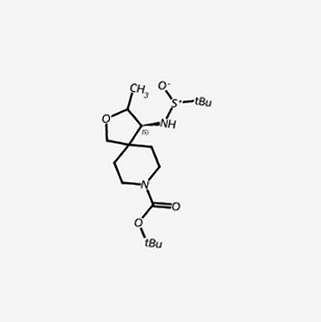 CC1OCC2(CCN(C(=O)OC(C)(C)C)CC2)[C@@H]1N[S+]([O-])C(C)(C)C